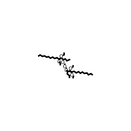 CCCCCCCCCCC(OCC)=C(OCC)C(CCC)OCOCOC(CCC)C(OCC)=C(CCCCCCCCCC)OCC